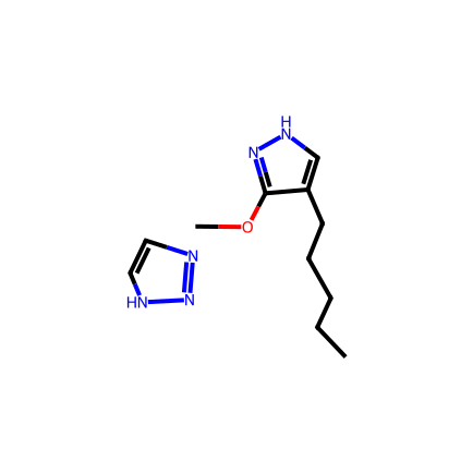 CCCCCc1c[nH]nc1OC.c1c[nH]nn1